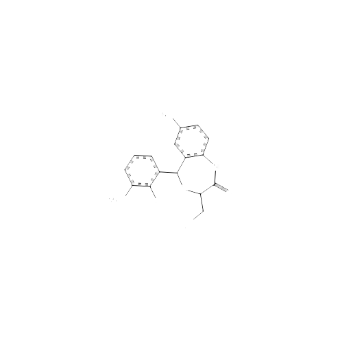 COc1cccc(C2OC(CC(=O)O)C(=S)Nc3ccc(C#N)cc32)c1Cl